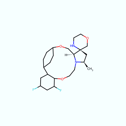 C[C@@H]1C[C@@]2(COCCN2)[C@@H]2COC3CCC(CC3)C3CC(F)CC(F)C3OCCN12